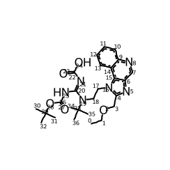 CCOCc1nc2cnc3ccccc3c2n1CCN(C(=NC(=O)O)NC(=O)OC(C)(C)C)C(C)(C)C